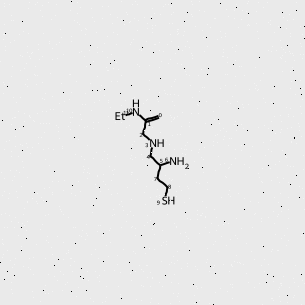 C=C(CNCC(N)CCS)NCC